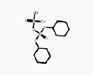 O=P(O)(O)OP(=O)(SC1CCCCC1)SC1CCCCC1